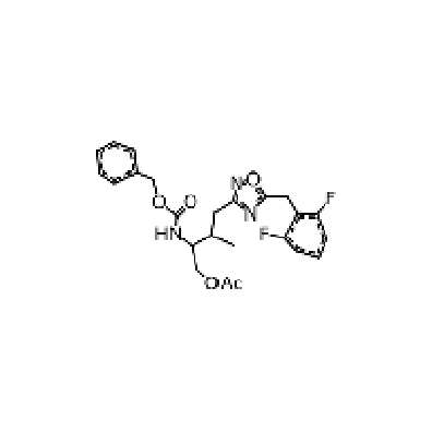 CC(=O)OCC(NC(=O)OCc1ccccc1)C(C)Cc1noc(Cc2c(F)cccc2F)n1